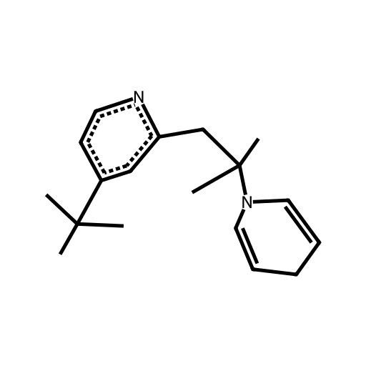 CC(C)(C)c1ccnc(CC(C)(C)N2C=CCC=C2)c1